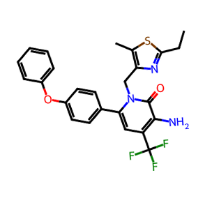 CCc1nc(Cn2c(-c3ccc(Oc4ccccc4)cc3)cc(C(F)(F)F)c(N)c2=O)c(C)s1